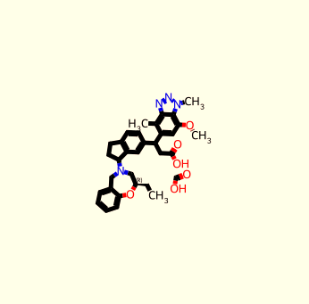 CC[C@@H]1CN(C2CCc3ccc(C(CC(=O)O)c4cc(OC)c5c(nnn5C)c4C)cc32)Cc2ccccc2O1.O=CO